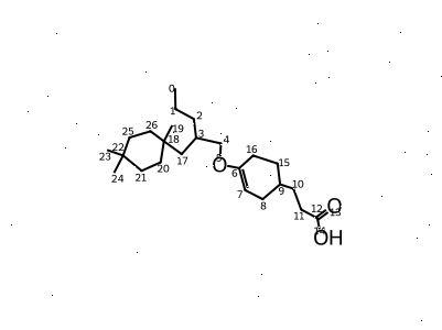 CCCC(COC1=CCC(CCC(=O)O)CC1)CC1(C)CCC(C)(C)CC1